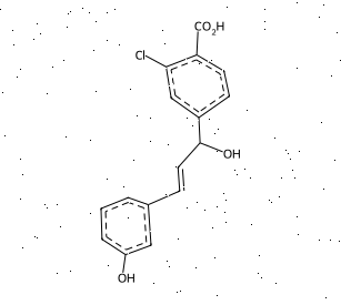 O=C(O)c1ccc(C(O)/C=C/c2cccc(O)c2)cc1Cl